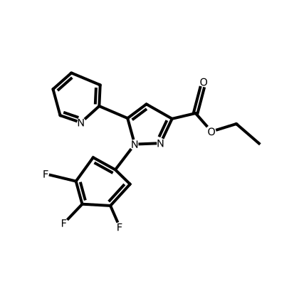 CCOC(=O)c1cc(-c2ccccn2)n(-c2cc(F)c(F)c(F)c2)n1